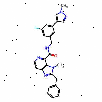 Cn1cc(-c2cc(F)cc(CNC(=O)c3nccc4nc(Cc5ccccc5)n(C)c34)c2)cn1